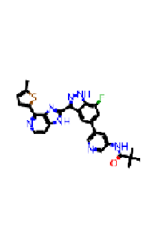 Cc1ccc(-c2nccc3[nH]c(-c4n[nH]c5c(F)cc(-c6cncc(NC(=O)C(C)(C)C)c6)cc45)nc23)s1